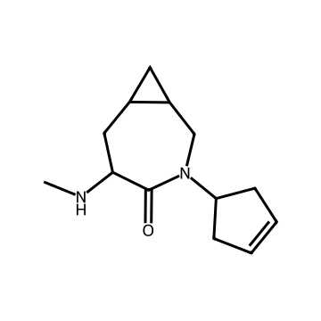 CNC1CC2CC2CN(C2CC=CC2)C1=O